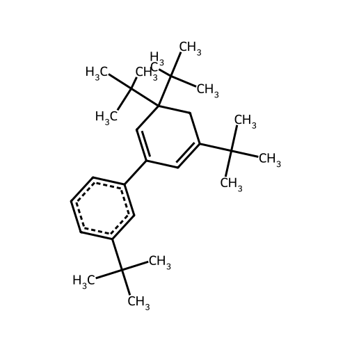 CC(C)(C)C1=CC(c2cccc(C(C)(C)C)c2)=CC(C(C)(C)C)(C(C)(C)C)C1